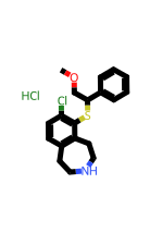 COCC(Sc1c(Cl)ccc2c1CCNCC2)c1ccccc1.Cl